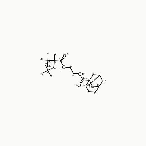 CC(C)(C)CC(C)(C(=O)OCCOC(=O)C12CC3CC(CC(C3)C1)C2)C(C)(C)C